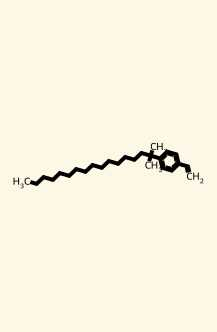 C=Cc1ccc(C(C)(C)CCCCCCCCCCCCCCC)cc1